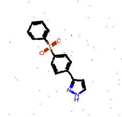 O=S(=O)(c1ccccc1)c1ccc(-c2cc[nH]n2)cc1